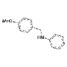 COc1ccc(CNc2ccccc2)cc1